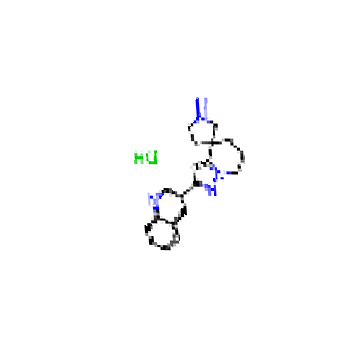 Cl.c1ccc2ncc(-c3cc4n(n3)CCCC43CCNC3)cc2c1